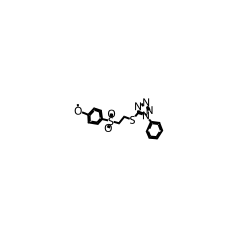 COc1ccc(S(=O)(=O)CCSc2nnnn2-c2ccccc2)cc1